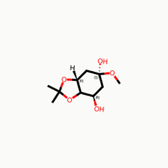 CO[C@@]1(O)C[C@@H](O)C2OC(C)(C)O[C@@H]2C1